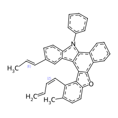 C=C/C=C\c1c(C)ccc2oc3c4ccccc4c4c(c5cc(/C=C/C)ccc5n4-c4ccccc4)c3c12